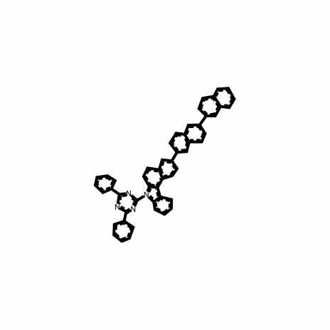 c1ccc(-c2nc(-c3ccccc3)nc(-n3c4ccccc4c4c5ccc(-c6ccc7cc(-c8ccc9ccccc9c8)ccc7c6)cc5ccc43)n2)cc1